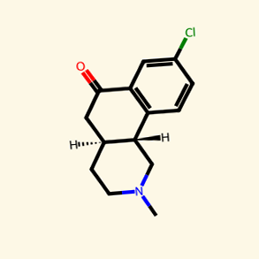 CN1CC[C@H]2CC(=O)c3cc(Cl)ccc3[C@@H]2C1